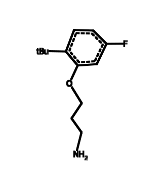 CC(C)(C)c1ccc(F)cc1OCCCN